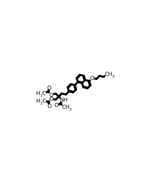 CCCCOc1cccc2c(-c3ccc(CCC(COC(C)=O)(COC(C)=O)NC(C)=O)cc3)cccc12